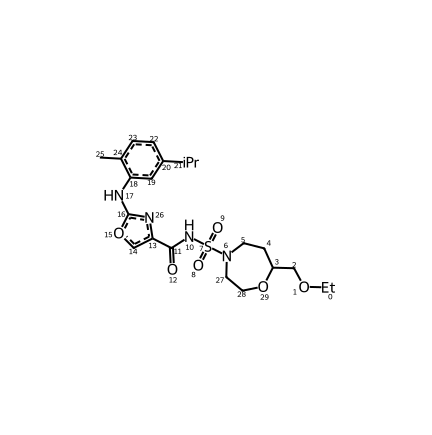 CCOCC1CCN(S(=O)(=O)NC(=O)c2coc(Nc3cc(C(C)C)ccc3C)n2)CCO1